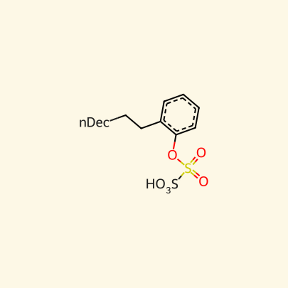 CCCCCCCCCCCCc1ccccc1OS(=O)(=O)S(=O)(=O)O